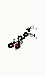 COc1cc(/C=C2\CCCN3C2=NO[C@]3(CN(C)C(=O)c2ccccc2)c2ccc(F)cc2)ccc1-n1cnc(C)c1